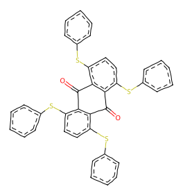 O=C1c2c(Sc3ccccc3)ccc(Sc3ccccc3)c2C(=O)c2c(Sc3ccccc3)ccc(Sc3ccccc3)c21